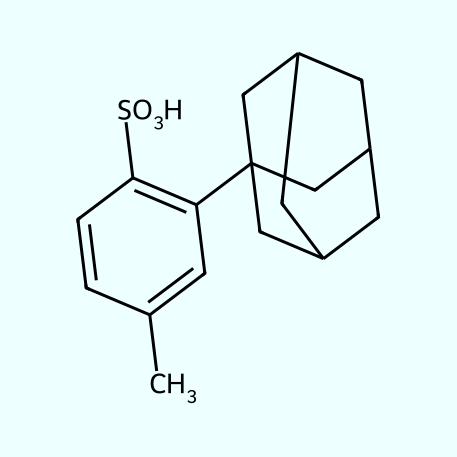 Cc1ccc(S(=O)(=O)O)c(C23CC4CC(CC(C4)C2)C3)c1